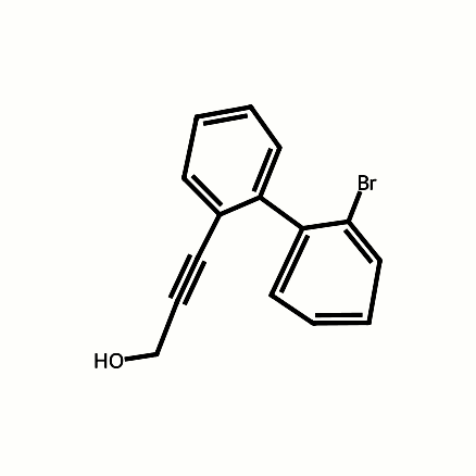 OCC#Cc1ccccc1-c1ccccc1Br